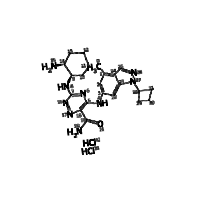 Cc1cc(Nc2nc(N[C@@H]3CCCC[C@@H]3N)nnc2C(N)=O)cc2c1cnn2C1CCC1.Cl.Cl